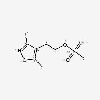 Cc1noc(C)c1CCOS(C)(=O)=O